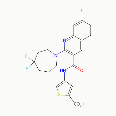 O=C(O)c1cc(NC(=O)c2cc3ccc(F)cc3nc2N2CCCC(F)(F)CC2)cs1